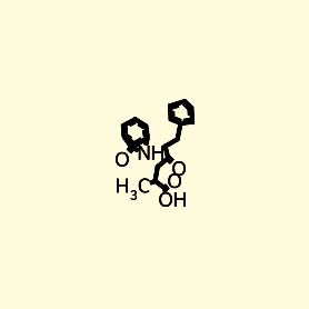 CC(CC(=O)CCc1ccccc1)C(=O)O.O=C1Nc2cccc1c2